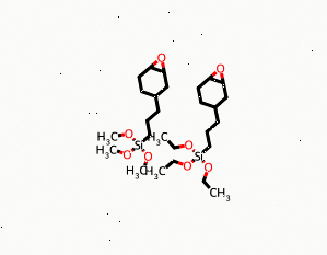 CCO[Si](CCCC1CCC2OC2C1)(OCC)OCC.CO[Si](CCCC1CCC2OC2C1)(OC)OC